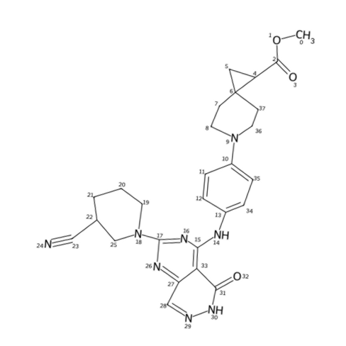 COC(=O)C1CC12CCN(c1ccc(Nc3nc(N4CCCC(C#N)C4)nc4cn[nH]c(=O)c34)cc1)CC2